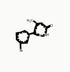 Cc1cc(=O)[nH]nc1-c1cccc(Br)c1